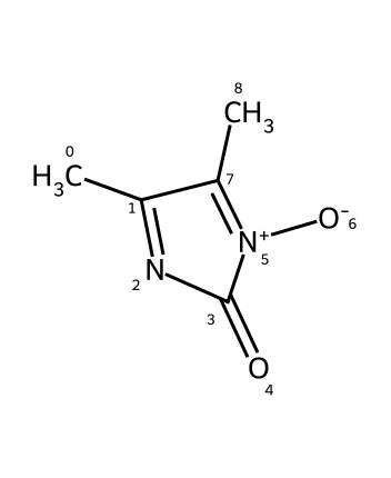 CC1=NC(=O)[N+]([O-])=C1C